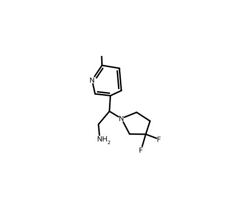 Cc1ccc(C(CN)N2CCC(F)(F)C2)cn1